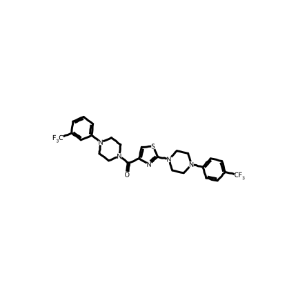 O=C(c1csc(N2CCN(c3ccc(C(F)(F)F)cc3)CC2)n1)N1CCN(c2cccc(C(F)(F)F)c2)CC1